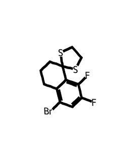 Fc1cc(Br)c2c(c1F)C1(CCC2)SCCS1